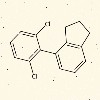 Clc1cccc(Cl)c1-c1cccc2c1CCC2